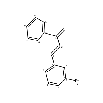 C=C(C=Cc1cccc(CC)c1)c1ccccc1